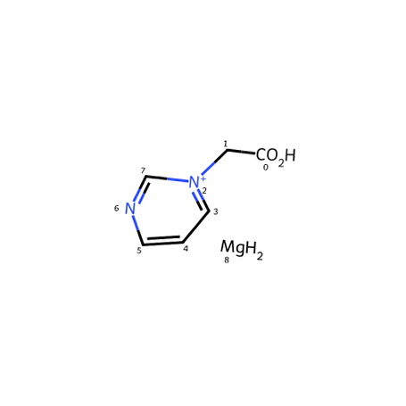 O=C(O)C[n+]1cccnc1.[MgH2]